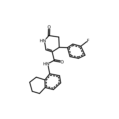 O=C1CC(c2cccc(F)c2)C(C(=O)Nc2cccc3c2CCCC3)=CN1